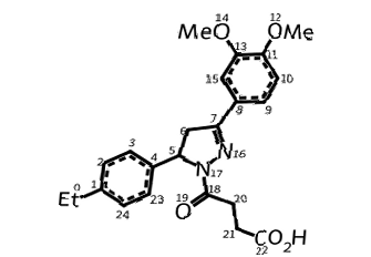 CCc1ccc(C2CC(c3ccc(OC)c(OC)c3)=NN2C(=O)CCC(=O)O)cc1